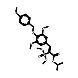 COc1ccc(COc2c(OC)cc(C=C(C(=O)OC(C)C)P(=O)(OC)OC)cc2OC)cc1